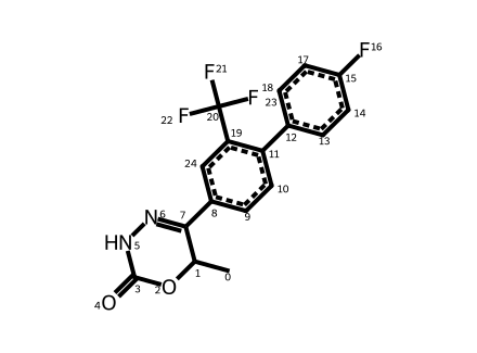 CC1OC(=O)NN=C1c1ccc(-c2ccc(F)cc2)c(C(F)(F)F)c1